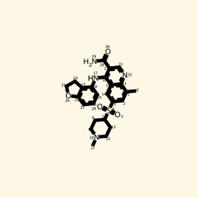 Cc1cc(S(=O)(=O)C2CCN(C)CC2)cc2c(Nc3cccc4c3CCO4)c(C(N)=O)cnc12